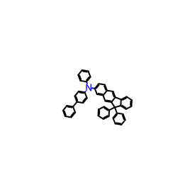 c1ccc(-c2ccc(N(c3ccccc3)c3ccc4cc5c(cc4c3)C(c3ccccc3)(c3ccccc3)c3ccccc3-5)cc2)cc1